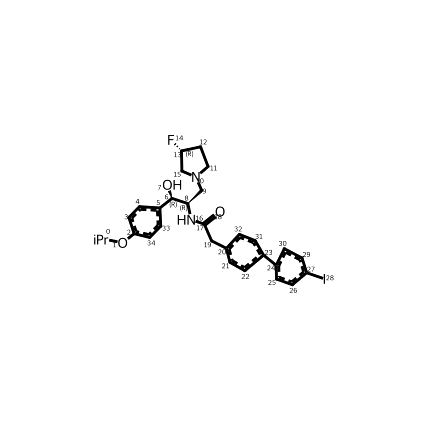 CC(C)Oc1ccc([C@@H](O)[C@@H](CN2CC[C@@H](F)C2)NC(=O)Cc2ccc(-c3ccc(I)cc3)cc2)cc1